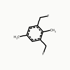 Cc1cc(CF)c(C)c(CF)c1